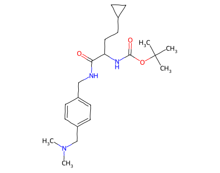 CN(C)Cc1ccc(CNC(=O)C(CCC2CC2)NC(=O)OC(C)(C)C)cc1